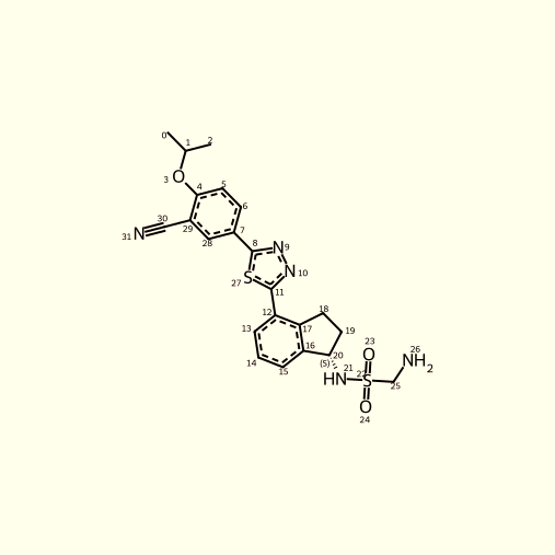 CC(C)Oc1ccc(-c2nnc(-c3cccc4c3CC[C@@H]4NS(=O)(=O)CN)s2)cc1C#N